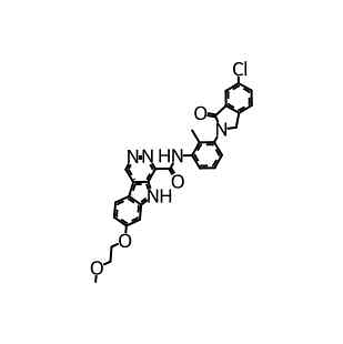 COCCOc1ccc2c(c1)[nH]c1c(C(=O)Nc3cccc(N4Cc5ccc(Cl)cc5C4=O)c3C)nncc12